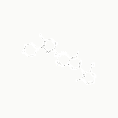 Cc1cc(-c2c(C)cccc2Cl)cc(/C=N\Nc2ncc(F)c(N3CCOCC3)n2)c1O